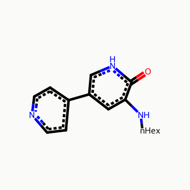 CCCCCCNc1cc(-c2ccncc2)c[nH]c1=O